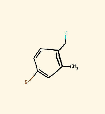 Cc1cc(Br)ccc1CF